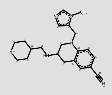 Cn1cncc1CN1CC(NCC2CCNCC2)Cc2cc(C#N)ccc21